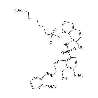 CCCCCCCCCCCCCCCCS(=O)(=O)Nc1cccc2ccc(O)c(NS(=O)(=O)c3ccc(NC(C)=O)c4c(O)c(/N=N/c5ccccc5OC)ccc34)c12